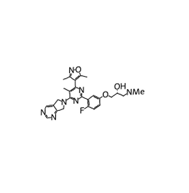 CNC[C@@H](O)COc1ccc(F)c(-c2nc(-c3c(C)noc3C)c(C)c(N3Cc4cncnc4C3)n2)c1